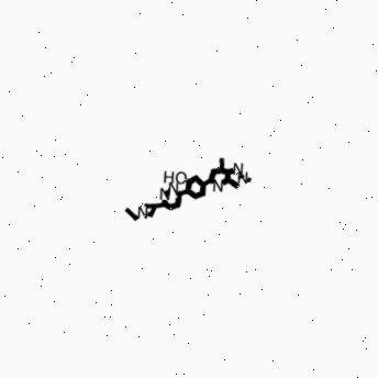 CCN1CC(c2ccc(-c3ccc(-c4cc(C)c5nn(C)cc5n4)cc3O)nn2)C1